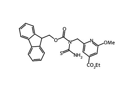 CCOC(=O)c1cc(CN(C(=O)OCC2c3ccccc3-c3ccccc32)C(N)=S)nc(OC)c1